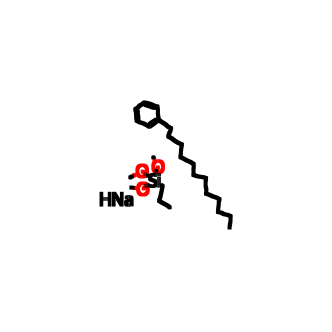 CCCCCCCCCCCCc1ccccc1.CCC[Si](OC)(OC)OC.[NaH]